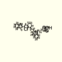 CC1C(/C=C/C2=C(Cl)C(=C/C=C3/N(CCCCS(=O)(=O)O)c4ccccc4C3(C)C)/CCC2)=Nc2ccccc21